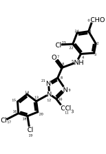 O=Cc1ccc(NC(=O)c2nc(C(Cl)(Cl)Cl)n(-c3ccc(Cl)c(Cl)c3)n2)c(Cl)c1